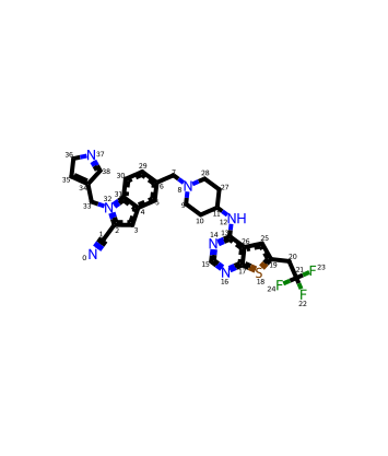 N#Cc1cc2cc(CN3CCC(Nc4ncnc5sc(CC(F)(F)F)cc45)CC3)ccc2n1CC1=CCN=C1